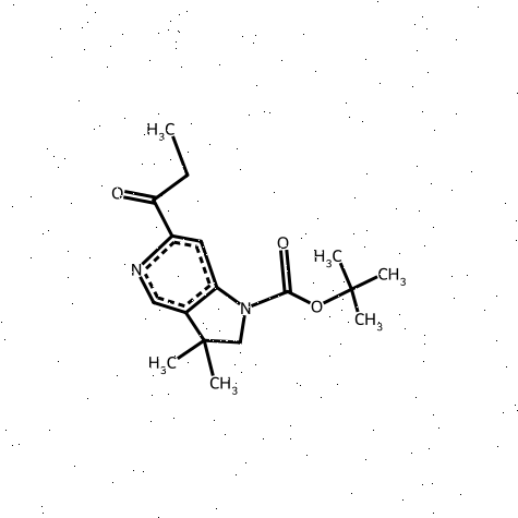 CCC(=O)c1cc2c(cn1)C(C)(C)CN2C(=O)OC(C)(C)C